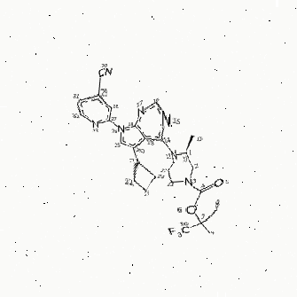 C[C@H]1CN(C(=O)OC(C)(C)C(F)(F)F)CCN1c1ncnc2c1c(C1CCC1)cn2-c1cc(C#N)ccn1